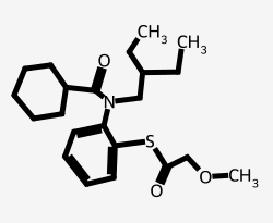 CCC(CC)CN(C(=O)C1CCCCC1)c1ccccc1SC(=O)COC